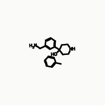 Cc1ccccc1.NCc1cccc(C2(O)CCNCC2)c1